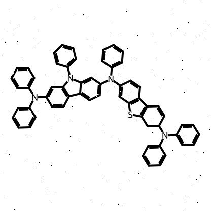 C1=CC(N(c2ccccc2)c2ccccc2)Cc2sc3cc(N(c4ccccc4)c4ccc5c6ccc(N(c7ccccc7)c7ccccc7)cc6n(-c6ccccc6)c5c4)ccc3c21